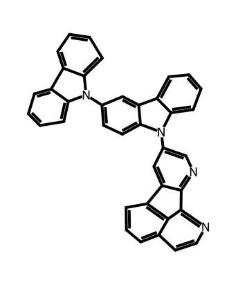 c1cc2c3c(nccc3c1)-c1ncc(-n3c4ccccc4c4cc(-n5c6ccccc6c6ccccc65)ccc43)cc1-2